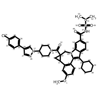 COc1ccc2c(c1)C1CC1(C(=O)N1CCC(n3cc(-c4ccc(Cl)cc4)cn3)CC1)Cn1c-2c(C2CCCCC2)c2ccc(C(=O)NS(=O)(=O)N(C)C)cc21